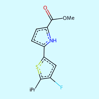 COC(=O)c1ccc(-c2cc(F)c(C(C)C)s2)[nH]1